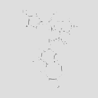 CN1CCc2cc(NC(=O)[C@]3(NC(=O)c4ccc(Cl)s4)CCOC3)cc(F)c2CC1